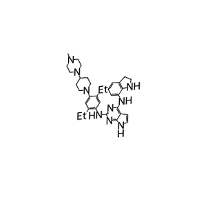 CCc1cc(N2CCC(N3CCN(C)CC3)CC2)c(CC)cc1Nc1nc(Nc2cccc3c2NCC3)c2cc[nH]c2n1